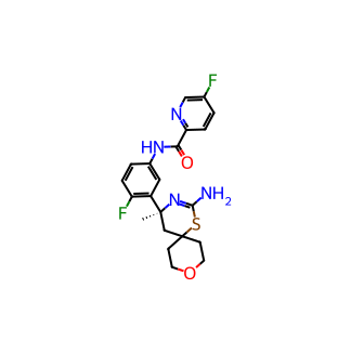 C[C@@]1(c2cc(NC(=O)c3ccc(F)cn3)ccc2F)CC2(CCOCC2)SC(N)=N1